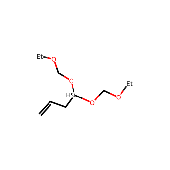 C=CC[SiH](OCOCC)OCOCC